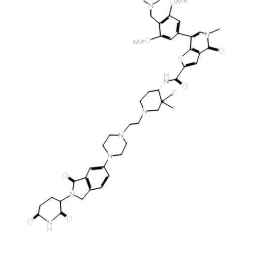 COc1cc(-c2cn(C)c(=O)c3cc(C(=O)N[C@H]4CCN(CCN5CCN(c6ccc7c(c6)C(=O)N(C6CCC(=O)NC6=O)C7)CC5)CC4(F)F)sc23)cc(OC)c1CN(C)C